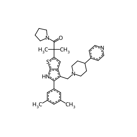 Cc1cc(C)cc(-c2[nH]c3sc(C(C)(C)C(=O)N4CCCC4)cc3c2CN2CCC(c3ccncc3)CC2)c1